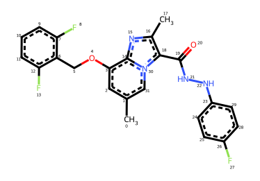 Cc1cc(OCc2c(F)cccc2F)c2nc(C)c(C(=O)NNc3ccc(F)cc3)n2c1